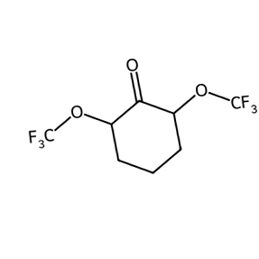 O=C1C(OC(F)(F)F)CCCC1OC(F)(F)F